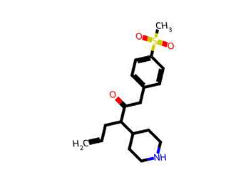 C=CCC(C(=O)Cc1ccc(S(C)(=O)=O)cc1)C1CCNCC1